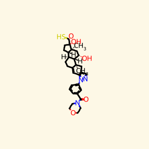 C[C@]12Cc3cnn(-c4cccc(C(=O)N5CCOCC5)c4)c3C=C1CC[C@@H]1[C@@H]2[C@@H](O)C[C@@]2(C)[C@H]1CC[C@]2(O)C(=O)S